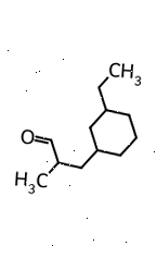 CCC1CCCC(CC(C)C=O)C1